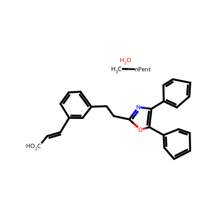 CCCCCC.O.O=C(O)C=Cc1cccc(CCc2nc(-c3ccccc3)c(-c3ccccc3)o2)c1